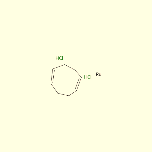 C1=C\CC/C=C\CC/1.Cl.Cl.[Ru]